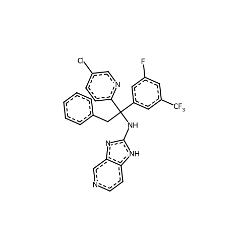 Fc1cc(C(F)(F)F)cc(C(Cc2ccccc2)(Nc2nc3cnccc3[nH]2)c2ccc(Cl)cn2)c1